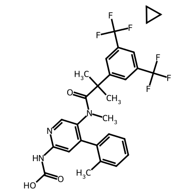 C1CC1.Cc1ccccc1-c1cc(NC(=O)O)ncc1N(C)C(=O)C(C)(C)c1cc(C(F)(F)F)cc(C(F)(F)F)c1